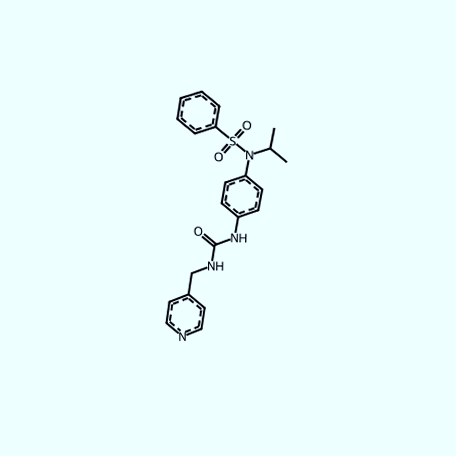 CC(C)N(c1ccc(NC(=O)NCc2ccncc2)cc1)S(=O)(=O)c1ccccc1